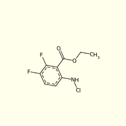 CCOC(=O)c1c(NCl)ccc(F)c1F